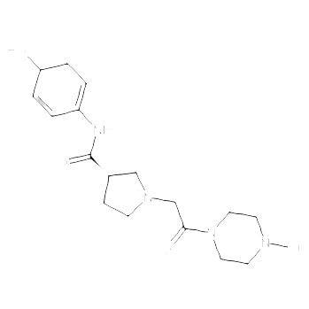 CCN1CCN(C(=O)CN2CC[C@@H](C(=O)NC3=CCC(O)C=C3)C2)CC1